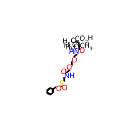 CC(C)(CC(C)(C)C(=O)NCCOCCOCC(=O)NCCSC(=O)OCc1ccccc1)C(=O)O